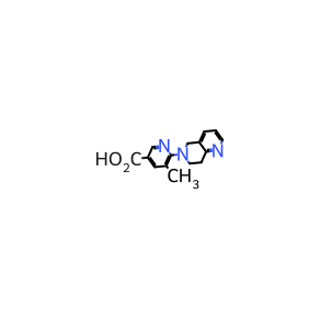 Cc1cc(C(=O)O)cnc1N1CCc2ncccc2C1